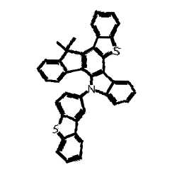 CC1(C)c2ccccc2-c2c1c1c3ccccc3sc1c1c3ccccc3n(-c3ccc4sc5ccccc5c4c3)c21